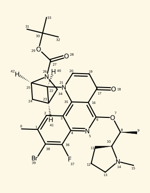 Cc1cc2c(nc(O[C@@H](C)[C@@H]3CCCN3C)c3c(=O)ccn([C@H]4[C@@H]5C[C@H]4N(C(=O)OC(C)(C)C)C5)c32)c(F)c1Br